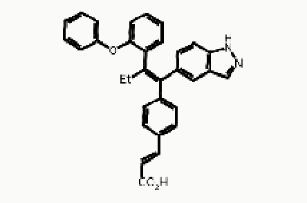 CCC(=C(c1ccc(C=CC(=O)O)cc1)c1ccc2[nH]ncc2c1)c1ccccc1Oc1ccccc1